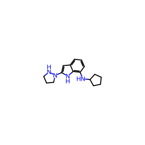 c1cc(NC2CCCC2)c2[nH]c(N3CCCN3)cc2c1